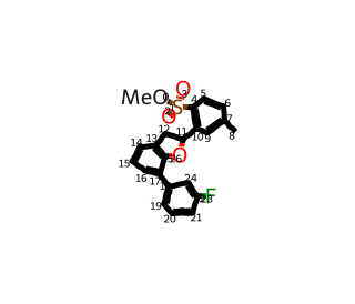 COS(=O)(=O)c1ccc(C)cc1C1Cc2cccc(-c3cccc(F)c3)c2O1